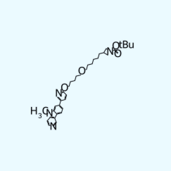 Cn1c2ccncc2c2ccc(-c3ccc(OCCCCCOCCCCCCC4CN(C(=O)OC(C)(C)C)C4)nc3)cc21